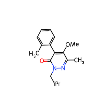 COc1c(C)nn(CC(C)C)c(=O)c1-c1ccccc1C